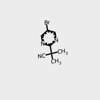 CC(C)(C#N)c1ncc(Br)cn1